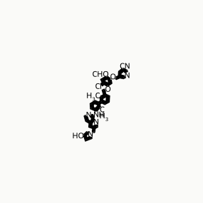 Cc1c(COc2cc(OCc3cncc(C#N)c3)c(C=O)cc2Cl)cccc1-c1cccc(Nc2nccc3cc(CN4CCC(O)C4)cnc23)c1C